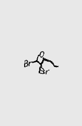 CCCC1OCC(Br)C1Br